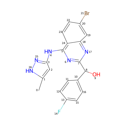 Cc1cc(Nc2nc(C(O)c3ccc(F)cc3)nc3cc(Br)ccc23)n[nH]1